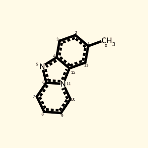 Cc1ccc2nc3ccccn3c2c1